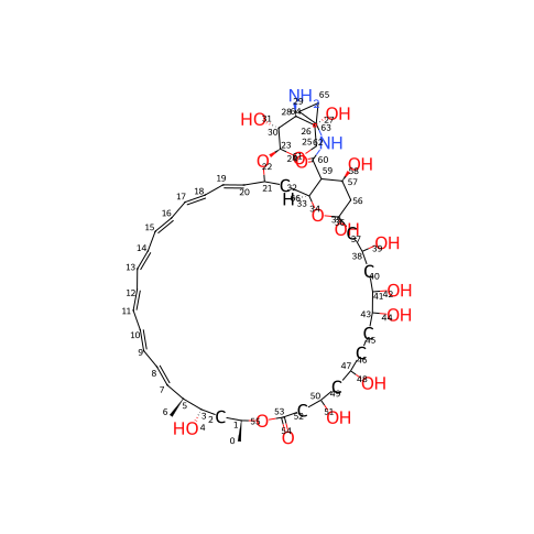 C[C@H]1C[C@H](O)[C@@H](C)/C=C/C=C/C=C/C=C/C=C/C=C/C=C/C(O[C@@H]2OC[C@@H](O)[C@H](N)[C@H]2O)C[C@@H]2OC(O)(CC(O)CC(O)C(O)CCC(O)CC(O)CC(=O)O1)C[C@H](O)C2C(=O)NC1CC1